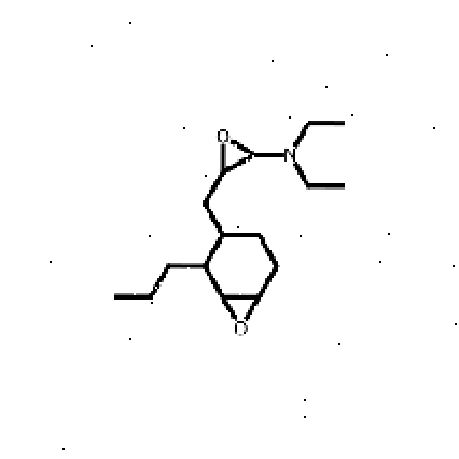 CCCC1C(CC2OC2N(CC)CC)CCC2OC21